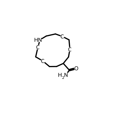 NC(=O)C1CCCCCCNCCCCC1